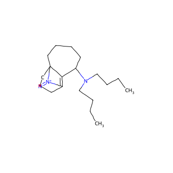 CCCCN(CCCC)C1CCCCC23CCCC(=C12)[N+]3=[N-]